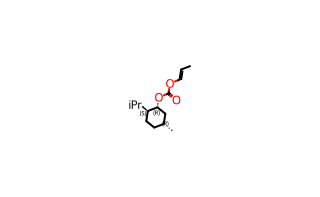 CC=COC(=O)O[C@@H]1C[C@H](C)CC[C@H]1C(C)C